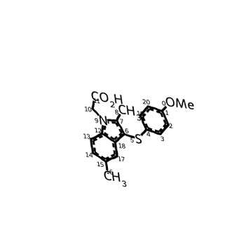 COc1ccc(Sc2c(C)n(CC(=O)O)c3ccc(C)cc23)cc1